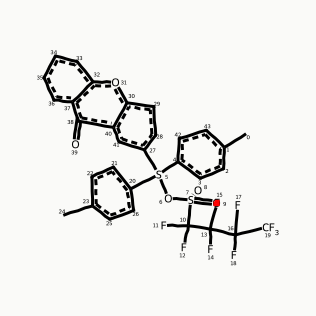 Cc1ccc(S(OS(=O)(=O)C(F)(F)C(F)(F)C(F)(F)C(F)(F)F)(c2ccc(C)cc2)c2ccc3oc4ccccc4c(=O)c3c2)cc1